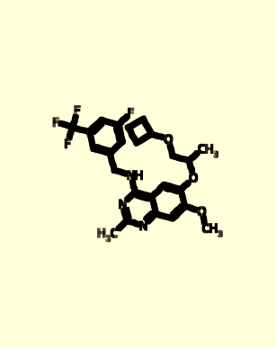 COc1cc2nc(C)nc(NCc3cc(F)cc(C(F)(F)F)c3)c2cc1OC(C)COC1CCC1